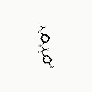 CC(=O)c1ccc(NC(=O)Nc2cccc(OC(F)F)c2)cc1